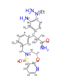 CCN(N)c1ccc(C(c2ccc(C)c(CN3CCOc4ncccc4[S+]3[O-])c2)C(C)(C)C(N)=O)c(C)c1N